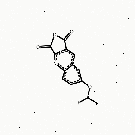 O=C1OC(=O)c2nc3ccc(OC(F)F)cc3cc21